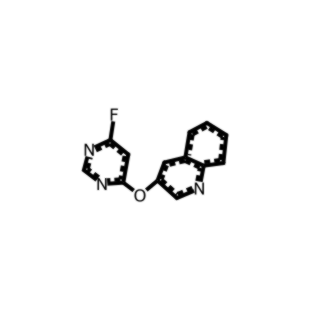 Fc1cc(Oc2cnc3ccccc3c2)ncn1